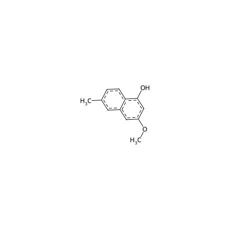 COc1cc(O)c2ccc(C)cc2c1